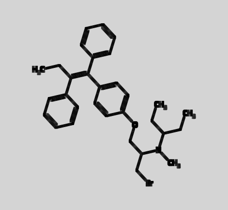 CC/C(=C(\c1ccccc1)c1ccc(OCC(CBr)N(C)C(CC)CC)cc1)c1ccccc1